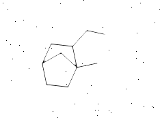 CC12CCC(CC1CO)C2